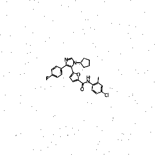 Cc1cc(Cl)ccc1NC(=O)c1ccc(-c2c(-c3ccc(F)cc3)ncn2C2CCCC2)o1